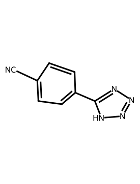 N#Cc1ccc(-c2nnn[nH]2)cc1